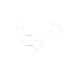 CC(=O)c1cn(S(=O)(=O)c2ccccc2)c2cc(C3COC3)ccc12